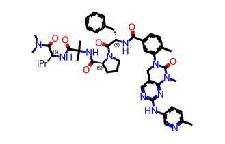 Cc1ccc(Nc2ncc3c(n2)N(C)C(=O)N(c2cc(C(=O)N[C@@H](Cc4ccccc4)C(=O)N4CCC[C@H]4C(=O)NC(C)(C)C(=O)N[C@H](C(=O)N(C)C)C(C)C)ccc2C)C3)cn1